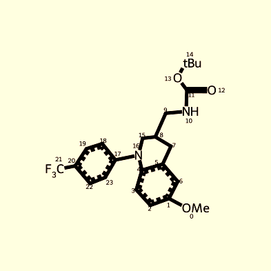 COc1ccc2c(c1)CC(CNC(=O)OC(C)(C)C)CN2c1ccc(C(F)(F)F)cc1